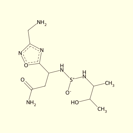 CC(O)C(C)N[S+]([O-])NC(CC(N)=O)c1nc(CN)no1